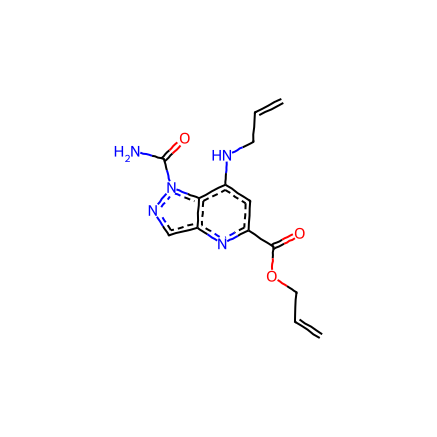 C=CCNc1cc(C(=O)OCC=C)nc2cnn(C(N)=O)c12